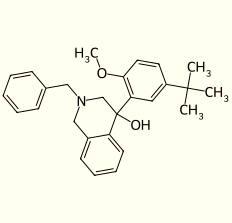 COc1ccc(C(C)(C)C)cc1C1(O)CN(Cc2ccccc2)Cc2ccccc21